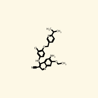 CCOc1cc2ncc(C#N)c(Nc3ccc(OCc4ccc(C(C)C)nc4)c(Cl)c3)c2cc1N